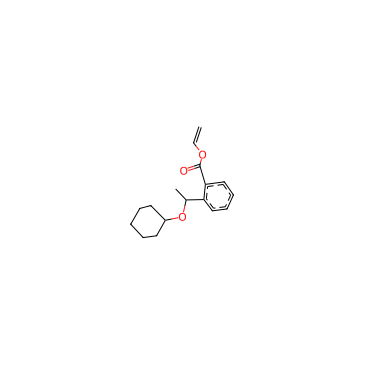 C=COC(=O)c1ccccc1C(C)OC1CCCCC1